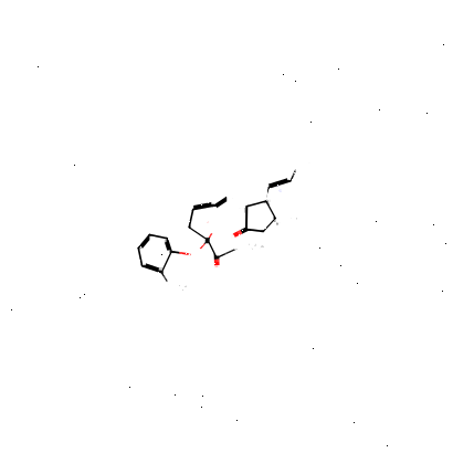 CCC/C=C/[C@H]1[C@H](C)CC(=O)[C@@H]1C=C=CCC([16OH])(Oc1ccccc1OC)C(=O)OC